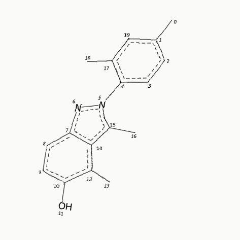 Cc1ccc(-n2nc3ccc(O)c(C)c3c2C)c(C)c1